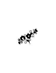 CCS(=O)(=O)c1ccc(Oc2cc(O[C@@H](C)CO)cc(C(=O)Nc3nccs3)c2)cn1